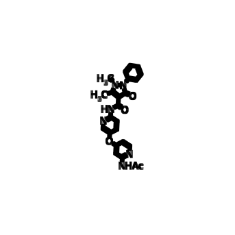 CC(=O)Nc1cc(Oc2ccc(NC(=O)c3c(C)n(C)n(-c4ccccc4)c3=O)nc2)ccn1